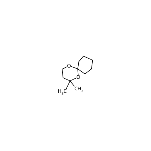 CC1(C)CCOC2(CCCCC2)O1